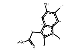 COC(=O)Cc1c(C)n(C)c2cc(F)c(O)cc12